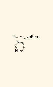 C=CCCCCCCC.c1cncnc1